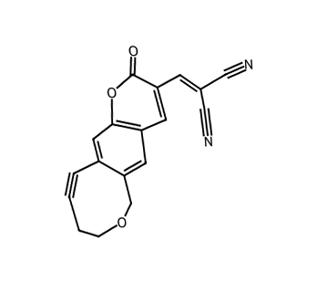 N#CC(C#N)=Cc1cc2cc3c(cc2oc1=O)C#CCCOC3